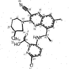 Cc1cc([C@@H](C)Nc2ccc(Cl)nc2C(=O)O)c2nc(N3CCCC(O)C3)c(C#N)nc2c1